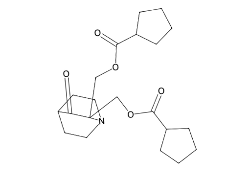 O=C(OCC1(COC(=O)C2CCCC2)C(=O)C2CCN1CC2)C1CCCC1